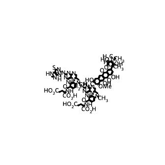 CN(Cc1cnc2nc(N)nc(N)c2n1)c1ccc(C(=O)N[C@@H](CCC(=O)O)C(=O)O)cc1.CN(Cc1cnc2nc(N)nc(N)c2n1)c1ccc(C(=O)N[C@@H](CCC(=O)O)C(=O)O)cc1.CO[C@@H]1C[C@](C)(O)Cc2cc3c(c(O)c21)C(=O)c1c(O)cc2c(c1C3=O)O[C@@H]1O[C@@]2(C)[C@H](O)[C@@H](N(C)C)[C@@H]1O.S=c1nc[nH]c2nc[nH]c12